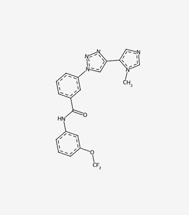 Cn1cncc1-c1cn(-c2cccc(C(=O)Nc3cccc(OC(F)(F)F)c3)c2)nn1